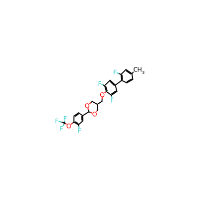 Cc1ccc(-c2cc(F)c(OCC3COC(c4ccc(OC(F)(F)F)c(F)c4)OC3)c(F)c2)c(F)c1